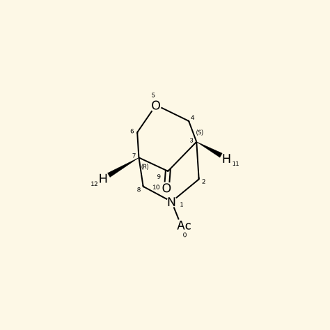 CC(=O)N1C[C@H]2COC[C@@H](C1)C2=O